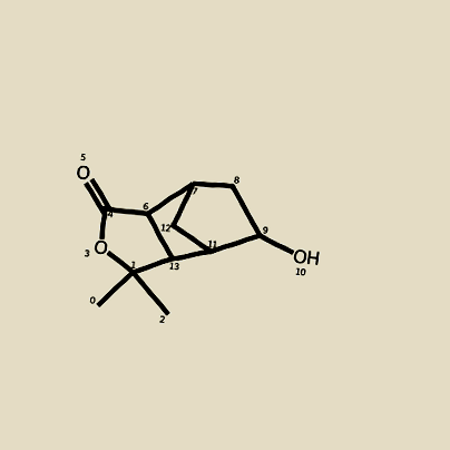 CC1(C)OC(=O)C2C3CC(O)C(C3)C21